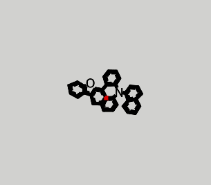 c1ccc(N(c2ccccc2-c2cccc3c2oc2ccccc23)c2cccc3ccccc23)cc1